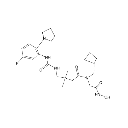 CC(C)(CNC(=O)Nc1cc(F)ccc1N1CCCC1)CC(=O)N(CC(=O)NO)CC1CCC1